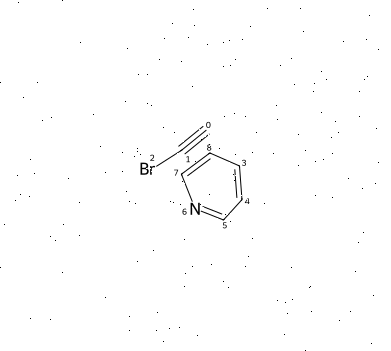 C#CBr.c1ccncc1